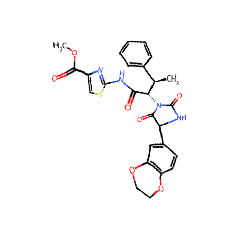 COC(=O)c1csc(NC(=O)[C@H]([C@H](C)c2ccccc2)N2C(=O)NC(c3ccc4c(c3)OCCO4)C2=O)n1